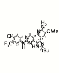 COc1cc(-c2nc(C(C)(C)C)[nH]c2-c2ccnc(Nc3ccc(Cl)c(C(F)(F)F)c3)n2)cnc1N